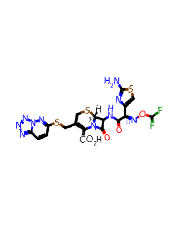 Nc1nc(/C(=N\OC(F)F)C(=O)NC2C(=O)N3C(C(=O)O)=C(CSc4ccc5nnnn5n4)CS[C@H]23)cs1